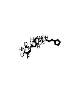 O=c1[nH]c(=O)n([C@H]2C[C@@H]3O[PH](O)(OCCCC4CCCC4)OC[C@H]3O2)cc1F